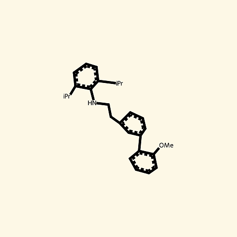 COc1ccccc1-c1cccc(CCNc2c(C(C)C)cccc2C(C)C)c1